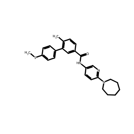 CSc1ccc(-c2cc(C(=O)Nc3ccc(N4CCCCCC4)nc3)ccc2C)cc1